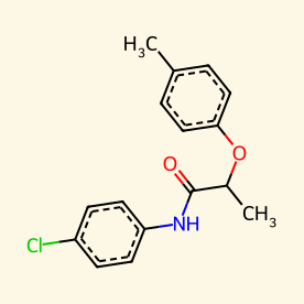 Cc1ccc(OC(C)C(=O)Nc2ccc(Cl)cc2)cc1